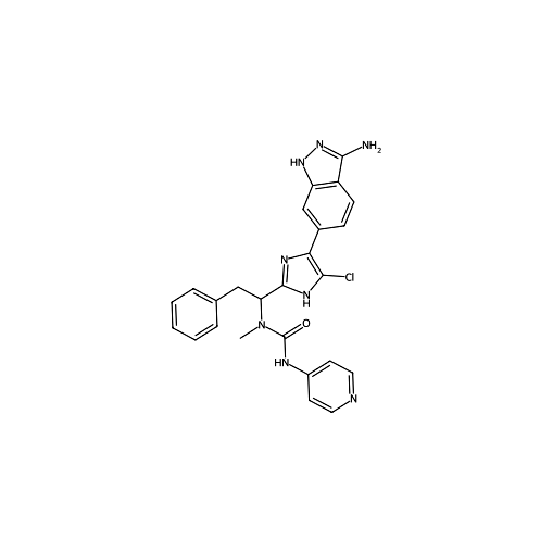 CN(C(=O)Nc1ccncc1)C(Cc1ccccc1)c1nc(-c2ccc3c(N)n[nH]c3c2)c(Cl)[nH]1